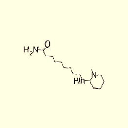 CN1CCCC[CH]1[InH][CH2]CCCCCCCC(N)=O